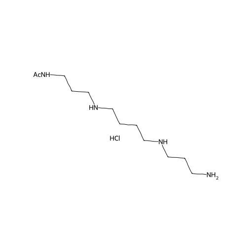 CC(=O)NCCCNCCCCNCCCN.Cl